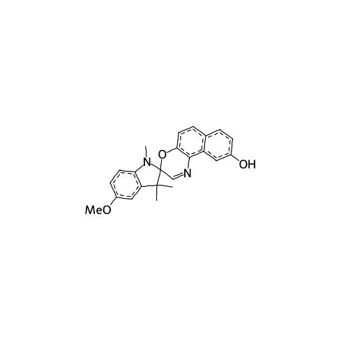 COc1ccc2c(c1)C(C)(C)C1(C=Nc3c(ccc4ccc(O)cc34)O1)N2C